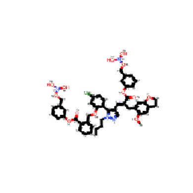 CCCCn1ncc(/C=C(\Cc2cc3c(cc2OC)CCO3)C(=O)Oc2cccc(CON(O)O)c2)c1-c1ccc(Cl)cc1OCc1ccccc1C(=O)Oc1cccc(CON(O)O)c1